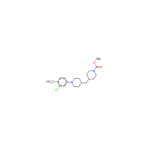 CC(C)(C)OC(=O)N1CCC(CC2CCN(c3ccc(C(=O)O)c(Cl)c3)CC2)CC1